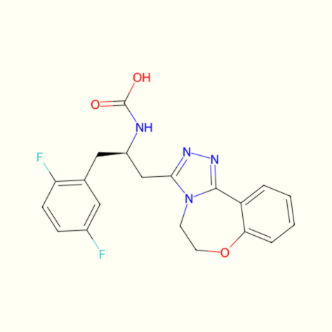 O=C(O)N[C@H](Cc1cc(F)ccc1F)Cc1nnc2n1CCOc1ccccc1-2